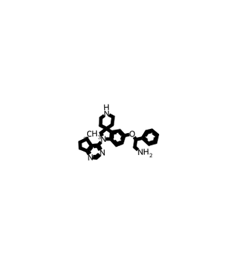 C[C@@H]1CCc2ncnc(N3CC4(CCNCC4)c4cc(OC(CN)c5ccccc5)ccc43)c21